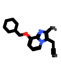 C#CCc1c(C)nc2c(OCC3CCCCC3)cccn12